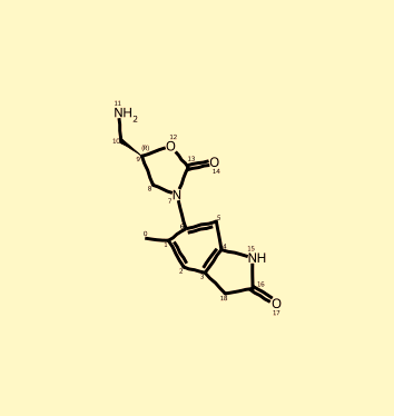 Cc1cc2c(cc1N1C[C@@H](CN)OC1=O)NC(=O)C2